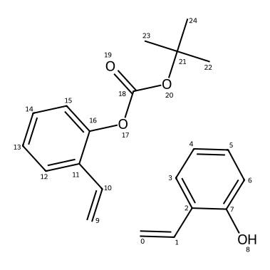 C=Cc1ccccc1O.C=Cc1ccccc1OC(=O)OC(C)(C)C